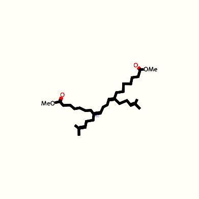 COC(=O)CCCCCCC(=CCC/C=C(/CCC=C(C)C)CCCCCCC(=O)OC)CCC=C(C)C